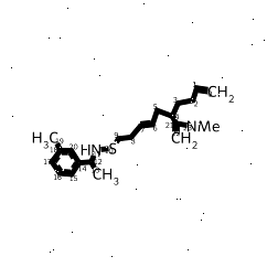 C=CCCC(C/C=C/CCSNC(C)c1cccc(C)c1)C(=C)NC